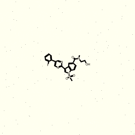 CN(CCO)C(=O)c1ccc2c(c1)c(-c1ncc(-c3ccccc3F)cn1)cn2S(C)(=O)=O